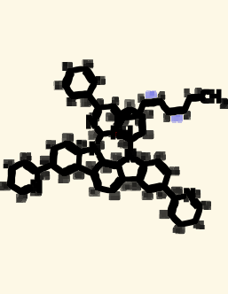 C=C/C=C\C=C/CC1=CC(c2ccccc2)=NC(n2c3ccc(-c4ccccn4)cc3c3ccc4c5cc(C6=CCCC=N6)ccc5n(-c5ccccc5)c4c32)N1